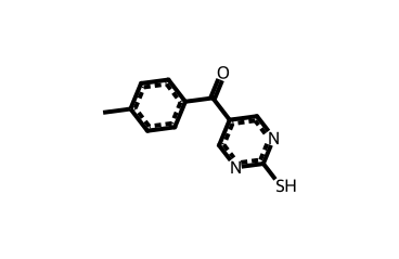 Cc1ccc(C(=O)c2cnc(S)nc2)cc1